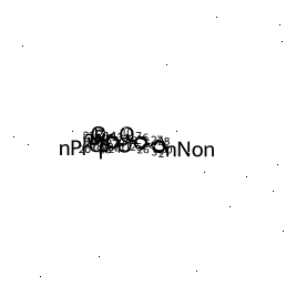 CCCCCCCCCc1ccc(-c2ccc(C(=O)Oc3ccc(C(=O)OC(CCC)CCC)c(F)c3)cc2)cc1